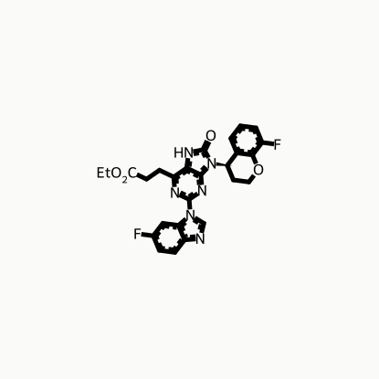 CCOC(=O)CCc1nc(-n2cnc3ccc(F)cc32)nc2c1[nH]c(=O)n2[C@@H]1CCOc2c(F)cccc21